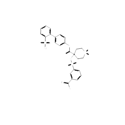 N=C(N)c1cccc(S(=O)(=O)NC2(C(=O)Nc3ccc(-c4ccccc4S(N)(=O)=O)cc3)CCS(=O)(=O)CC2)c1